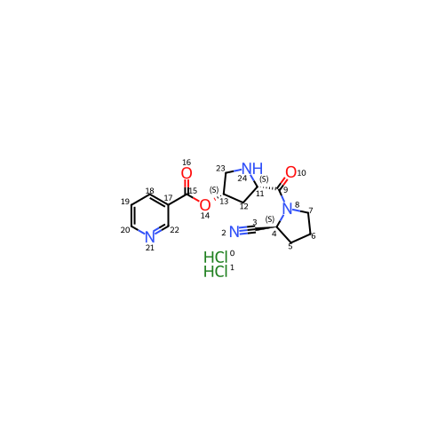 Cl.Cl.N#C[C@@H]1CCCN1C(=O)[C@@H]1C[C@H](OC(=O)c2cccnc2)CN1